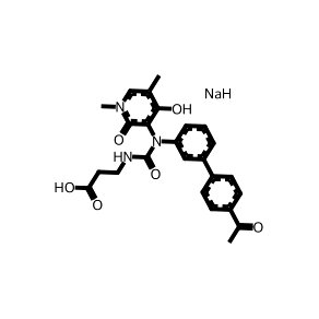 CC(=O)c1ccc(-c2cccc(N(C(=O)NCCC(=O)O)c3c(O)c(C)cn(C)c3=O)c2)cc1.[NaH]